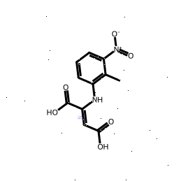 Cc1c(N/C(=C\C(=O)O)C(=O)O)cccc1[N+](=O)[O-]